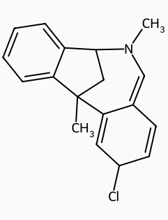 CN1C=C2C=CC(Cl)C=C2C2(C)CC1c1ccccc12